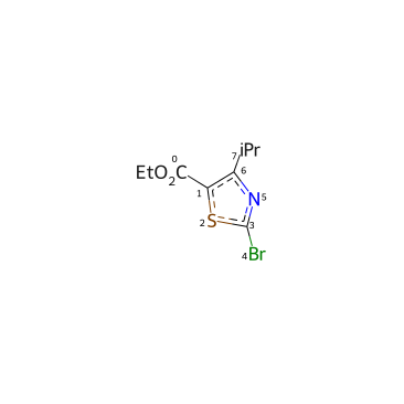 CCOC(=O)c1sc(Br)nc1C(C)C